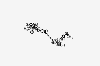 Cc1ncsc1-c1ccc(CNC(=O)[C@@H]2C[C@@H](O)CN2C(=O)[C@@H](NC(=O)CCCCCCCCCC(=O)N2CCC(c3nnc(-c4cnc(Nc5ccc6c(c5)C(C)(C)OC6=O)nc4N[C@H](CO)c4ccccc4)o3)CC2)C(C)(C)C)cc1